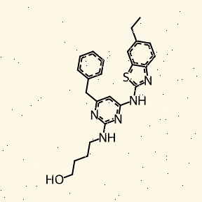 CCc1ccc2nc(Nc3cc(Cc4ccccc4)nc(NCCCCO)n3)sc2c1